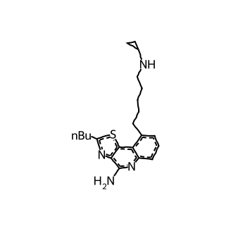 CCCCc1nc2c(N)nc3cccc(CCCCCNC4CC4)c3c2s1